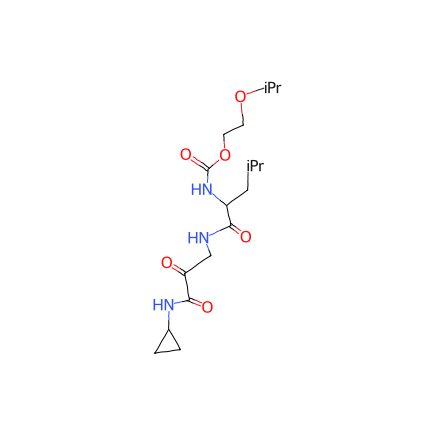 CC(C)CC(NC(=O)OCCOC(C)C)C(=O)NCC(=O)C(=O)NC1CC1